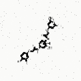 Cc1cc(OCC(=O)NC23CCC(NC(=O)COc4ccc(Cl)c(F)c4)(CC2)C[C@@H]3O)cc(C)n1